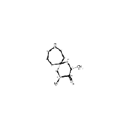 CCN1C[C@@]2(CCCNCC2)O[C@H](C)C1=O